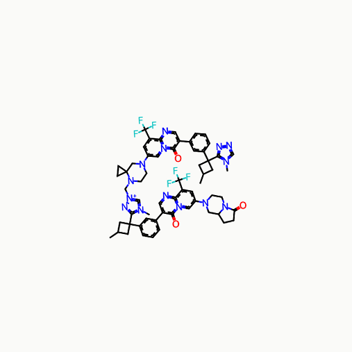 CC1CC(c2cccc(-c3cnc4c(C(F)(F)F)cc(N5CCN(C[n+]6cn(C)c(C7(c8cccc(-c9cnc%10c(C(F)(F)F)cc(N%11CCN%12C(=O)CCC%12C%11)cn%10c9=O)c8)CC(C)C7)n6)C6(CC6)C5)cn4c3=O)c2)(c2nncn2C)C1